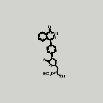 CC(C)(C)N(CC1CN(c2ccc(-c3n[nH]c(=O)c4ccccc34)cc2)C(=O)O1)C(=O)O